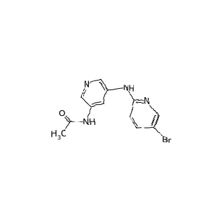 CC(=O)Nc1cncc(Nc2ccc(Br)cn2)c1